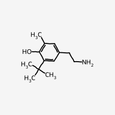 Cc1cc(CCN)cc(C(C)(C)C)c1O